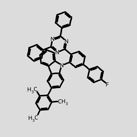 Cc1cc(C)c(-c2ccc3c(c2)c2ccccc2n3-c2cc(-c3ccc(F)cc3)ccc2-c2nc(-c3ccccc3)nc(-c3ccccc3)n2)c(C)c1